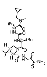 CC(C)[C@H](NC(=O)N[C@H](C(=O)N1C[C@H]2[C@@H]([C@H]1C(=O)NCC(=O)C(N)=O)C2(C)C)C(C)(C)C)C(=O)N(C)CC1CC1